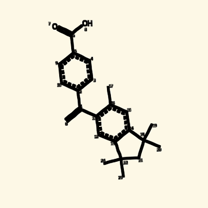 C=C(c1ccc(C(=O)O)cc1)c1cc2c(cc1C)C(C)(C)CC2(C)C